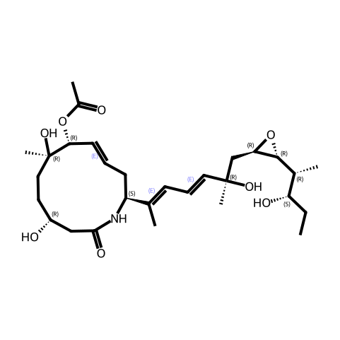 CC[C@H](O)[C@@H](C)[C@H]1O[C@@H]1C[C@@](C)(O)/C=C/C=C(\C)[C@@H]1C/C=C/[C@@H](OC(C)=O)[C@](C)(O)CC[C@@H](O)CC(=O)N1